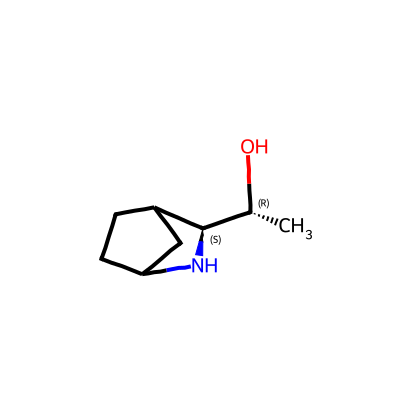 C[C@@H](O)[C@H]1NC2CCC1C2